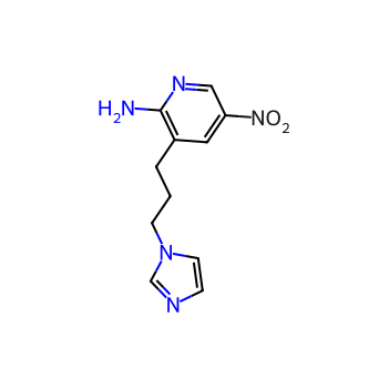 Nc1ncc([N+](=O)[O-])cc1CCCn1ccnc1